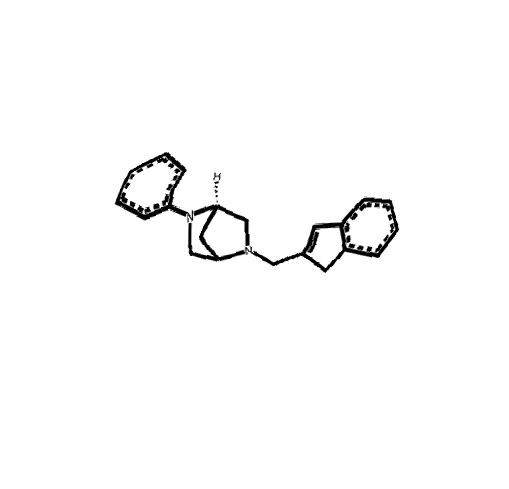 C1=C(CN2C[C@H]3CC2CN3c2ccccc2)Cc2ccccc21